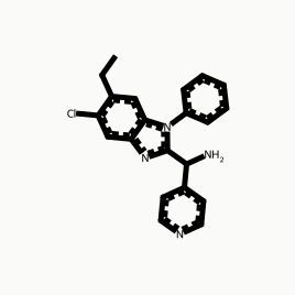 CCc1cc2c(cc1Cl)nc(C(N)c1ccncc1)n2-c1ccccc1